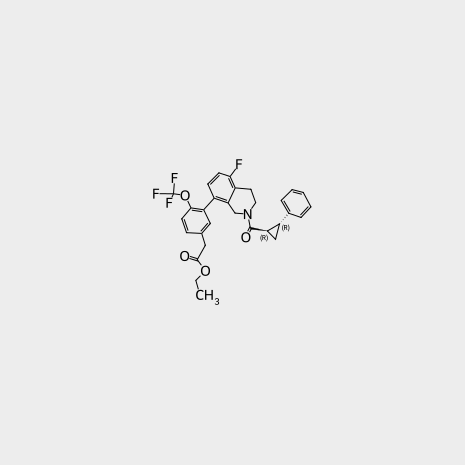 CCOC(=O)Cc1ccc(OC(F)(F)F)c(-c2ccc(F)c3c2CN(C(=O)[C@@H]2C[C@H]2c2ccccc2)CC3)c1